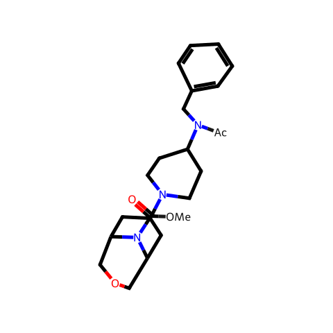 COC(=O)N1C2COCC1CC(N1CCC(N(Cc3ccccc3)C(C)=O)CC1)C2